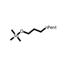 CCCCCCCC[O][Sn]([CH3])([CH3])[CH3]